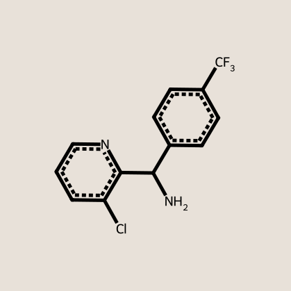 NC(c1ccc(C(F)(F)F)cc1)c1ncccc1Cl